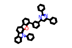 c1ccc(-c2cc(-c3cccc(-c4cccc5c4oc4c5ccc5c6ccccc6n(-c6ccccc6)c54)c3)nc(-c3ccccc3)n2)cc1